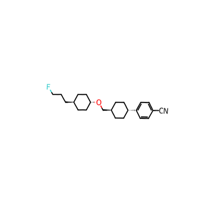 N#Cc1ccc([C@H]2CC[C@H](CO[C@H]3CC[C@H](CCCF)CC3)CC2)cc1